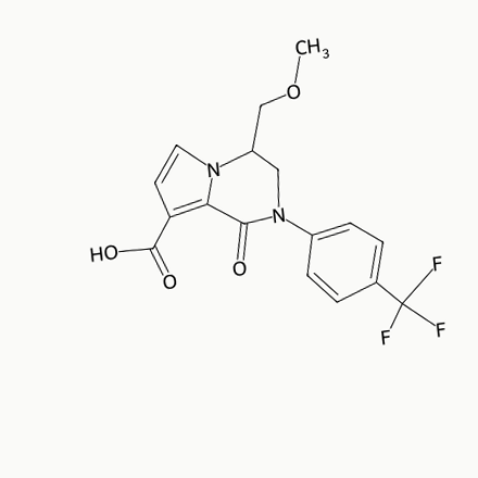 COCC1CN(c2ccc(C(F)(F)F)cc2)C(=O)c2c(C(=O)O)ccn21